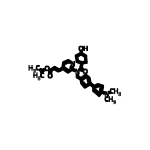 CC(C)OC(=O)/C=C/c1ccnc(N(Cc2ccc(-c3ccc(N(C)C)cc3)cc2)C(=O)C2CCC(O)CC2)c1